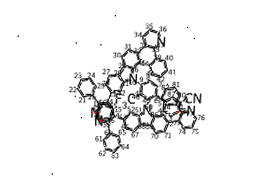 N#Cc1cccc(-c2ccc(-n3c4cc(-c5cccnc5-c5ccccc5)ccc4c4ccc(-c5cccnc5-c5ccccc5)cc43)c(C(F)(F)F)c2-n2c3cc(-c4cccnc4-c4ccccc4)ccc3c3ccc(-c4cccnc4-c4ccccc4)cc32)c1